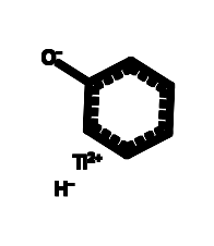 [H-].[O-]c1ccccc1.[Ti+2]